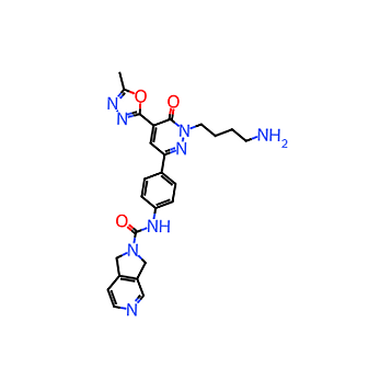 Cc1nnc(-c2cc(-c3ccc(NC(=O)N4Cc5ccncc5C4)cc3)nn(CCCCN)c2=O)o1